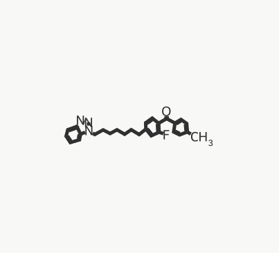 Cc1ccc(C(=O)c2ccc(CCCCCCCn3nnc4ccccc43)cc2F)cc1